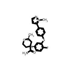 C[C@H]1C[C@@](C(N)=O)(c2ccc(F)c(Sc3ccc(-c4ccnn4C)cc3)c2)CCO1